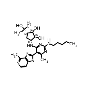 CCCCCNc1nc(C)c(-c2nc3c(C)nccc3s2)c(N[C@@H]2C[C@H](C(C)(C)O)[C@@H](O)[C@H]2O)n1